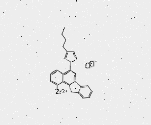 CCCCC1=CC(c2cc3c(c4[c]([Zr+2])cccc24)Cc2ccccc2-3)C=C1.[Cl-].[Cl-]